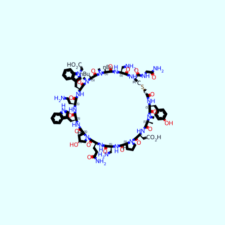 CCCC[C@H]1C(=O)N(C)[C@@H](CCCC)C(=O)N[C@@H](CN)C(=O)N[C@H](C(=O)NCC(N)=O)CSCC(=O)N[C@@H](Cc2ccc(O)cc2)C(=O)N(C)[C@@H](C)C(=O)N[C@@H](CC(=O)O)C(=O)N2CCC[C@H]2C(=O)N[C@@H](CN)C(=O)N[C@@H](CCC(N)=O)C(=O)N2C[C@H](O)C[C@H]2C(=O)N[C@@H](Cc2c[nH]c3ccccc23)C(=O)N[C@@H](CCN)C(=O)N[C@@H](Cc2cn(CC(=O)O)c3ccccc23)C(=O)N1C